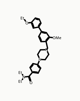 CCOc1cccc(-c2ccc(CN3CCN(c4ccc(C(=O)N(CC)CC)cc4)CC3)c(OC)c2)c1